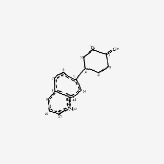 O=C1CCC(c2ccc3cccnc3c2)CC1